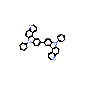 c1ccc(-n2c3ccc(-c4ccc5c(c4)c4c6cccnc6ccc4n5-c4ccccc4)cc3c3c4cccnc4ccc32)cc1